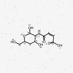 O=C(O)/C=C\C(=O)NC1C(O)CC(CO)OC1O